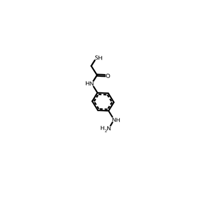 NNc1ccc(NC(=O)CS)cc1